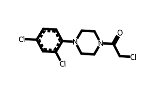 O=C(CCl)N1CCN(c2ccc(Cl)cc2Cl)CC1